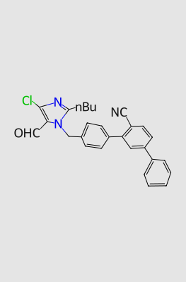 CCCCc1nc(Cl)c(C=O)n1Cc1ccc(-c2cc(-c3ccccc3)ccc2C#N)cc1